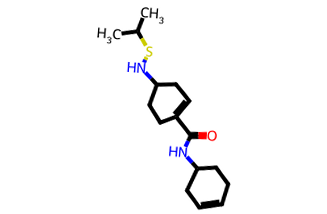 CC(C)SNC1CC=C(C(=O)NC2CC=CCC2)CC1